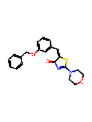 O=C1N=C(N2CCOCC2)S/C1=C/c1cccc(OCc2ccccc2)c1